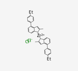 CCc1ccc(-c2cccc3c2C=C(C)[CH]3[Zr+2][CH]2C(C)=Cc3c(-c4ccc(CC)cc4)cccc32)cc1.[Cl-].[Cl-]